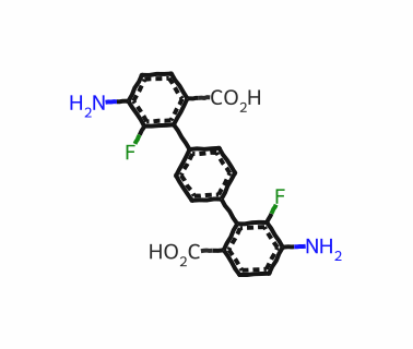 Nc1ccc(C(=O)O)c(-c2ccc(-c3c(C(=O)O)ccc(N)c3F)cc2)c1F